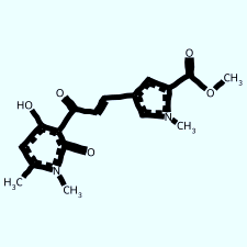 COC(=O)c1cc(/C=C/C(=O)c2c(O)cc(C)n(C)c2=O)cn1C